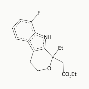 CCOC(=O)CC1(CC)OCCc2c1[nH]c1c(F)cccc21